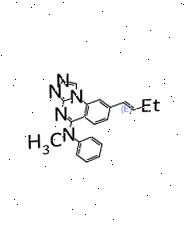 CC/C=C/c1ccc2c(N(C)c3ccccc3)nc3nncn3c2c1